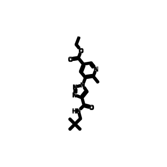 CCOC(=O)c1cnc(C)c(-n2cc(C(=O)NCC(C)(C)C)nn2)c1